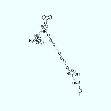 CC(C)(C)OC(=O)NCCCCC(NC(=O)OCC1c2ccccc2-c2ccccc21)C(=O)NCCOCCOCCOCCOCCOCCOCCOCCOCCC(=O)NC(CCCCNC(=S)CCc1ccc(I)cc1)C(=O)O